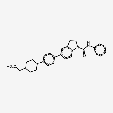 O=C(O)CC1CCC(c2ccc(-c3ccc4c(c3)CCN4C(=O)Nc3ccccc3)cc2)CC1